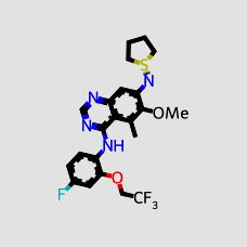 COc1c(N=S2CCCC2)cc2ncnc(Nc3ccc(F)cc3OCC(F)(F)F)c2c1C